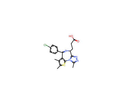 Cc1sc2c(c1C)C(c1ccc(Cl)cc1)=NC(CCC(=O)O)c1nnc(C)n1-2